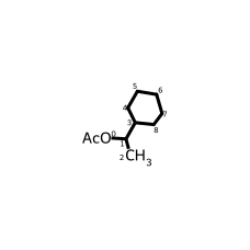 CC(=O)OC(C)C1CCCCC1